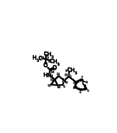 C[C@@H](c1ccccc1)N1CC2CC2(NC(=O)OC(C)(C)C)C1